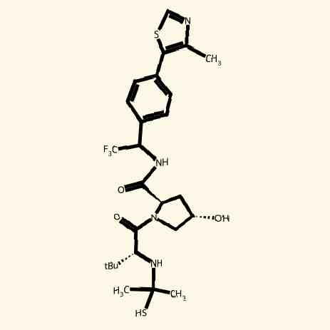 Cc1ncsc1-c1ccc(C(NC(=O)[C@H]2C[C@H](O)CN2C(=O)[C@H](NC(C)(C)S)C(C)(C)C)C(F)(F)F)cc1